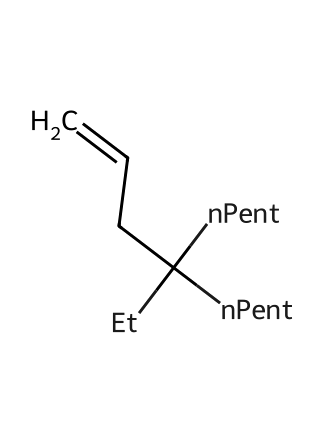 C=CCC(CC)(CCCCC)CCCCC